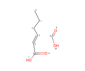 CCCC=CC(=O)O.O=CO